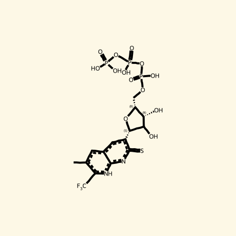 Cc1cc2cc([C@@H]3O[C@H](COP(=O)(O)OP(=O)(O)OP(=O)(O)O)[C@H](O)C3O)c(=S)nc-2[nH]c1C(F)(F)F